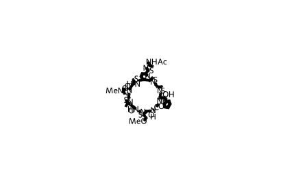 CNC(=O)C[C@@H]1NC(=O)c2csc(n2)-c2ccc(-c3nc(NC(C)=O)cs3)nc2-c2csc(n2)-c2csc(n2)[C@H]([C@@H](O)c2ccccc2)NC(=O)CNC(=O)c2nc(sc2COC)NC(=O)c2nc1sc2C